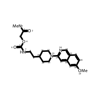 CNC(=O)COC(=O)NCCC1CCN(c2cc3cc(OC)ccc3cn2)CC1